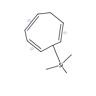 C[Si](C)(C)C1/C=C\C=C/C/C=C\1